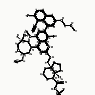 C#Cc1c(F)ccc2cc(OCOC)cc(-c3nc(OC)c4c(N5C[C@H](CO)OC[C@@](C)(O)C5)nc(OC[C@]56CCC[C@H]5N(C(=O)OC(C)(C)C)CCC6)nc4c3F)c12